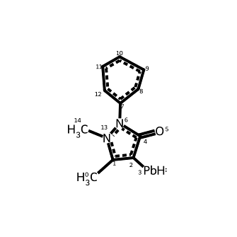 Cc1[c]([PbH])c(=O)n(-c2ccccc2)n1C